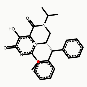 CC(C)N1C[C@H](C(c2ccccc2)c2ccccc2)n2c([S+](C)[O-])nc(=O)c(O)c2C1=O